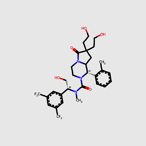 Cc1ccccc1[C@H]1C2CC(CCO)(CCO)C(=O)N2CCN1C(=O)N(C)[C@@H](CO)c1cc(C(F)(F)F)cc(C(F)(F)F)c1